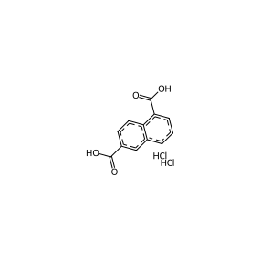 Cl.Cl.O=C(O)c1ccc2c(C(=O)O)cccc2c1